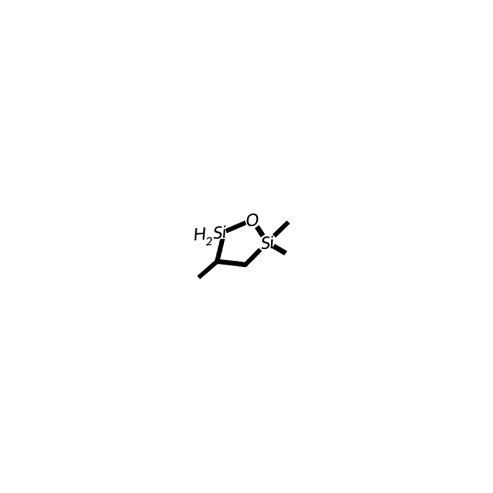 CC1C[Si](C)(C)O[SiH2]1